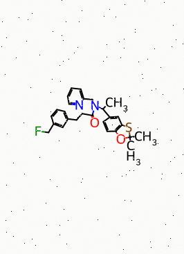 CC(c1ccc2c(c1)SC(C)(C)O2)N(Cc1ccccn1)C(=O)CCc1cccc(CF)c1